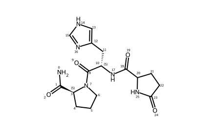 NC(=O)[C@@H]1CCCN1C(=O)[C@H](Cc1c[nH]cn1)NC(=O)C1CCC(=O)N1